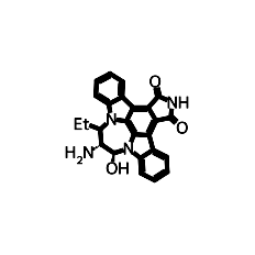 CCC1[C@@H](N)[C@H](O)n2c3ccccc3c3c4c(c5c6ccccc6n1c5c32)C(=O)NC4=O